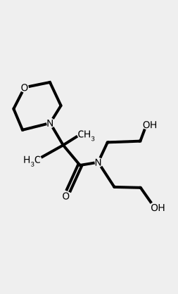 CC(C)(C(=O)N(CCO)CCO)N1CCOCC1